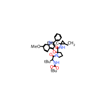 C=CC1CC1(NC(=O)C1(Oc2cc(-c3ccccc3)nc3cc(OC)ccc23)CCCN1C(=O)C(NC(=O)OC(C)(C)C)C(C)(C)C)C(=O)OCC